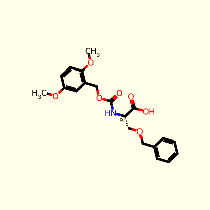 COc1ccc(OC)c(COC(=O)N[C@@H](COCc2ccccc2)C(=O)O)c1